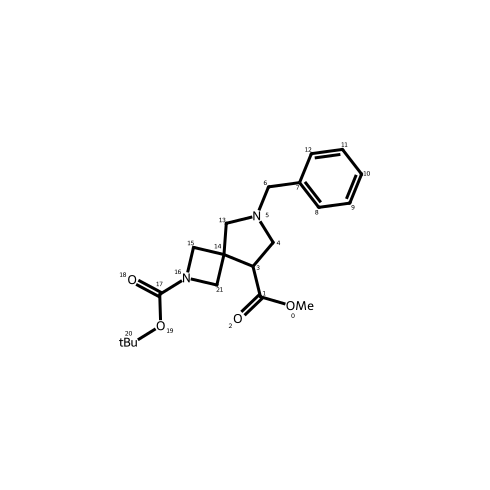 COC(=O)C1CN(Cc2ccccc2)CC12CN(C(=O)OC(C)(C)C)C2